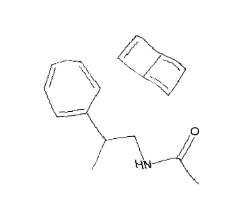 CC(=O)NCC(C)c1ccccc1.c1cc2ccc1-2